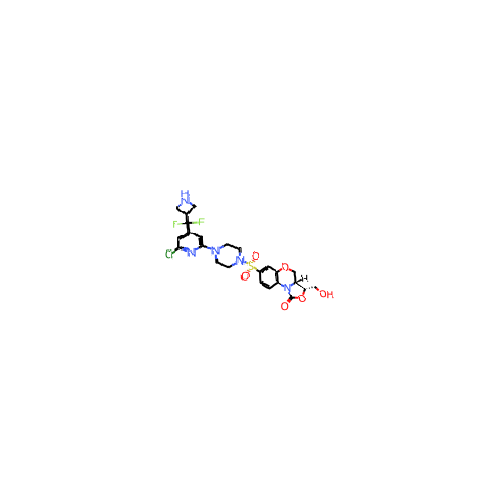 O=C1O[C@@H](CO)[C@H]2COc3cc(S(=O)(=O)N4CCN(c5cc(C(F)(F)C6CNC6)cc(Cl)n5)CC4)ccc3N12